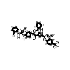 COc1cc(C(OCc2ccccc2)C(=O)C2CNC(COc3ccc(C(=O)O)cc3[N+](=O)[O-])C2)ccc1NC(=O)Nc1ccccc1C